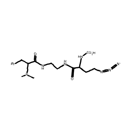 CC(C)CC(C(=O)NCCNC(=O)C(CCN=[N+]=[N-])NC(=O)O)N(C)C